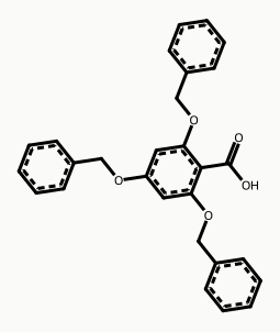 O=C(O)c1c(OCc2ccccc2)cc(OCc2ccccc2)cc1OCc1ccccc1